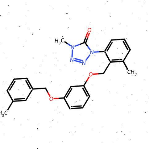 Cc1cccc(COc2cccc(OCc3c(C)cccc3-n3nnn(C)c3=O)c2)c1